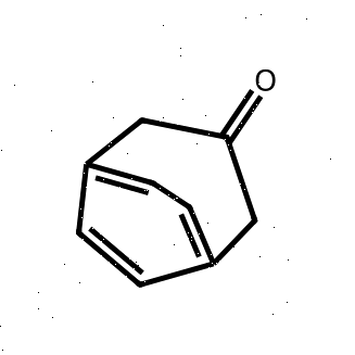 O=C1Cc2ccc(cc2)C1